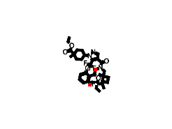 CCOC(=O)C1(C)CCC(n2ncc(C(=O)N(CC(O[Si](CC)(CC)CC)c3c(Cl)cccc3Cl)CC3(C)CCC3)c2C(F)(F)F)CC1